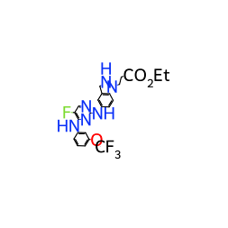 CCOC(=O)CCN1NCc2cc(Nc3ncc(F)c(Nc4cccc(OC(F)(F)F)c4)n3)ccc21